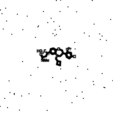 CCCc1cc(Cl)ccc1C1COc2ccc([C@@H](CC(=O)NC)C(=O)O)cc2N(CC2CCC2)C1